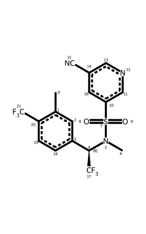 Cc1cc([C@@H](N(C)S(=O)(=O)c2cncc(C#N)c2)C(F)(F)F)ccc1C(F)(F)F